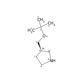 CC(C)(C)OC[C@@H]1CCNC1